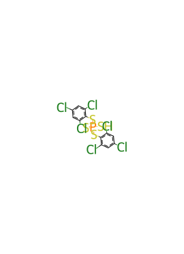 S=P(S)(Sc1c(Cl)cc(Cl)cc1Cl)Sc1c(Cl)cc(Cl)cc1Cl